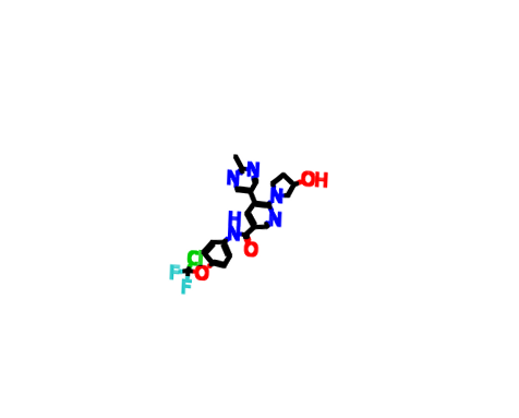 Cc1ncc(-c2cc(C(=O)Nc3ccc(OC(F)(F)Cl)cc3)cnc2N2CCC(O)C2)cn1